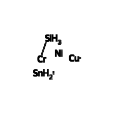 [Cu].[Ni].[SiH3][Cr].[SnH2]